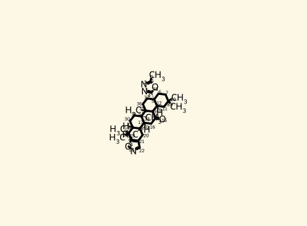 Cc1nnc([C@]23CCC(C)(C)C[C@@H]2C2C(=O)C[C@@H]4[C@@]5(C)Cc6cnoc6C(C)(C)[C@@H]5CC[C@@]4(C)[C@]2(C)CC3)o1